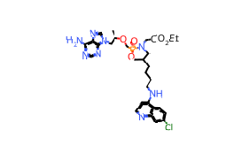 CCOC(=O)CN1CC(CCCCNc2ccnc3cc(Cl)ccc23)COP1(=O)CO[C@H](C)Cn1cnc2c(N)ncnc21